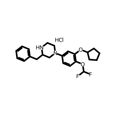 Cl.FC(F)Oc1ccc(N2CCNC(Cc3ccccc3)C2)cc1OC1CCCC1